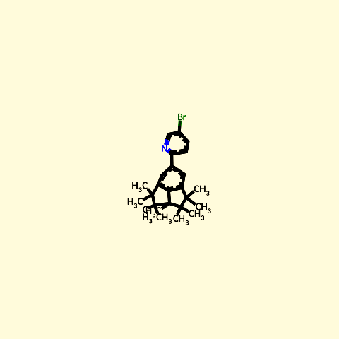 CC1(C)c2cc(-c3ccc(Br)cn3)cc3c2C(C)(C1(C)C)C(C)(C)C3(C)C